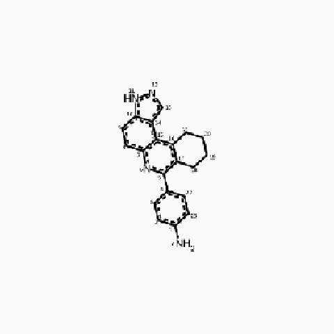 Nc1ccc(-c2nc3ccc4[nH]ncc4c3c3c2CCCC3)cc1